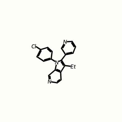 CCc1c(-c2cccnc2)n(-c2ccc(Cl)cc2)c2cnccc12